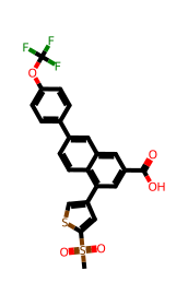 CS(=O)(=O)c1cc(-c2cc(C(=O)O)cc3cc(-c4ccc(OC(F)(F)F)cc4)ccc23)cs1